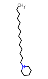 [CH2]CCCCCCCCCCCCCN1CCCCC1